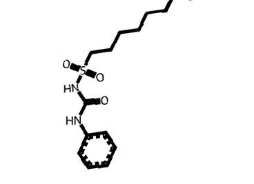 NCCCCCCS(=O)(=O)NC(=O)Nc1ccccc1